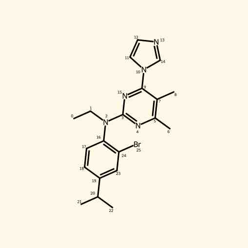 CCN(c1nc(C)c(C)c(-n2ccnc2)n1)c1ccc(C(C)C)cc1Br